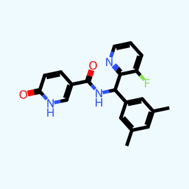 Cc1cc(C)cc(C(NC(=O)c2ccc(=O)[nH]c2)c2ncccc2F)c1